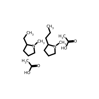 CC(=O)O.CC(=O)O.CCC1CCCN1C.CCCC1CCCN1C